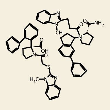 Cn1c(CCC(=O)[N+]2(C3CCc4ccc(-c5ccccc5)cc43)CCC[C@H]2C(N)=O)nc2ccccc21.Cn1c(SCC(=O)N2CCC[C@]2(C(=O)O)c2ccccc2-c2ccccc2)nc2ccccc21